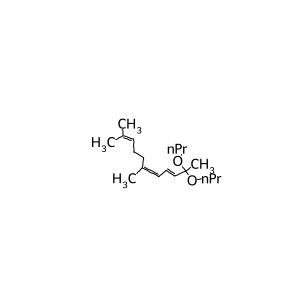 CCCOC(C)(C=CC=C(C)CCC=C(C)C)OCCC